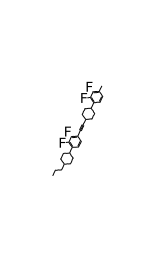 CCCC1CCC(c2ccc(C#CC3CCC(c4ccc(C)c(F)c4F)CC3)c(F)c2F)CC1